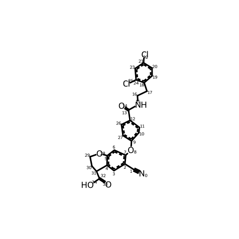 N#Cc1cc2c(cc1Oc1ccc(C(=O)NCCc3ccc(Cl)cc3Cl)cc1)OCCC2C(=O)O